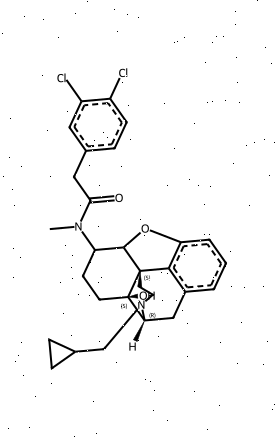 CN(C(=O)Cc1ccc(Cl)c(Cl)c1)C1CC[C@@]2(O)[C@H]3Cc4cccc5c4[C@@]2(CCN3CC2CC2)C1O5